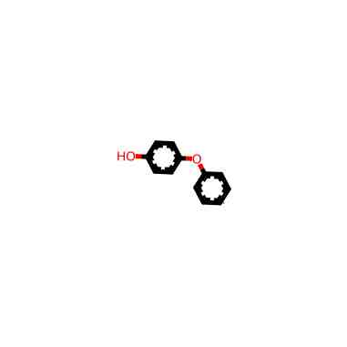 Oc1ccc(Oc2cc[c]cc2)cc1